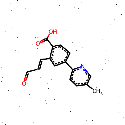 Cc1ccc(-c2ccc(C(=O)O)c(C=CC=O)c2)nc1